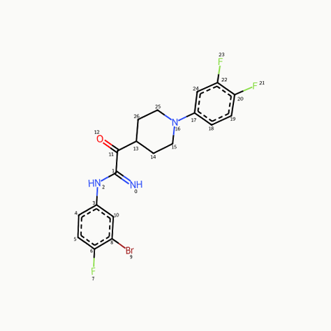 N=C(Nc1ccc(F)c(Br)c1)C(=O)C1CCN(c2ccc(F)c(F)c2)CC1